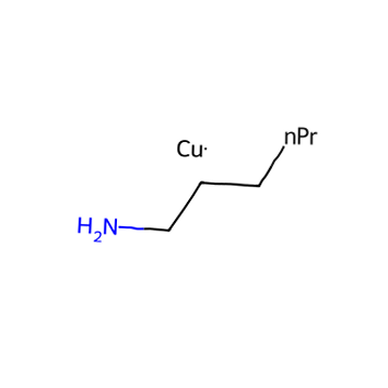 CCCCCCN.[Cu]